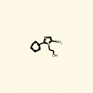 Nc1cnc(-c2ccccc2)n1CCO